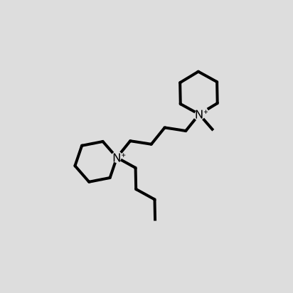 CCCC[N+]1(CCCC[N+]2(C)CCCCC2)CCCCC1